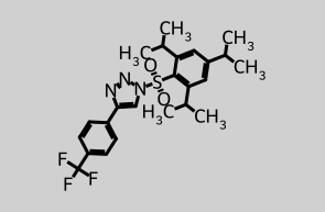 CC(C)c1cc(C(C)C)c(S(=O)(=O)n2cc(-c3ccc(C(F)(F)F)cc3)nn2)c(C(C)C)c1